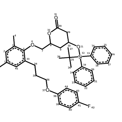 Cc1cc(C)c(OCC2CC(O[Si](c3ccccc3)(c3ccccc3)C(C)(C)C)CC(=O)O2)c(CCCOc2ccc(F)cc2)c1